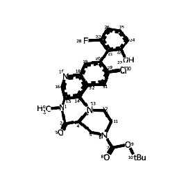 CN1C(=O)C2CN(C(=O)OC(C)(C)C)CCN2c2c1cnc1cc(-c3c(O)cccc3F)c(Cl)cc21